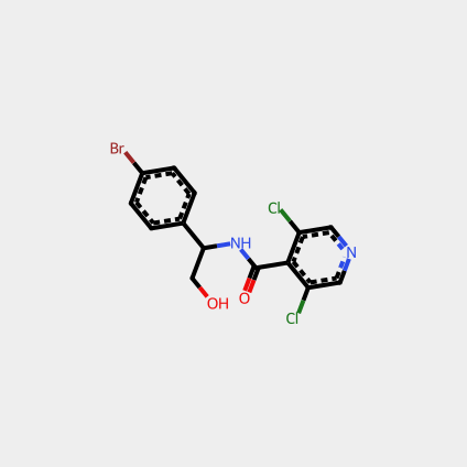 O=C(NC(CO)c1ccc(Br)cc1)c1c(Cl)cncc1Cl